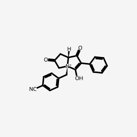 N#Cc1ccc(C[N@@+]23CC(=O)C[C@@H]2C(=O)C(c2ccccc2)=C3O)cc1